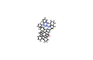 c1ccc(-c2nc(-n3c4c5c(ccc4c4ccc6ccccc6c43)C3(c4ccccc4-5)c4ccccc4C4(c5ccccc5-c5ccccc54)c4ccccc43)nc3ccccc23)cc1